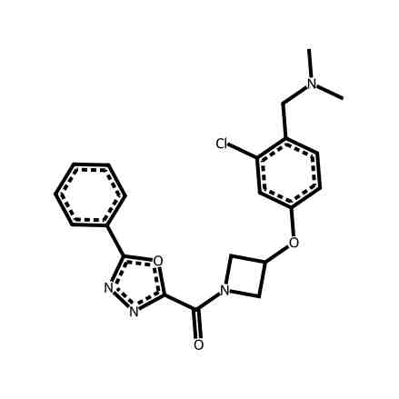 CN(C)Cc1ccc(OC2CN(C(=O)c3nnc(-c4ccccc4)o3)C2)cc1Cl